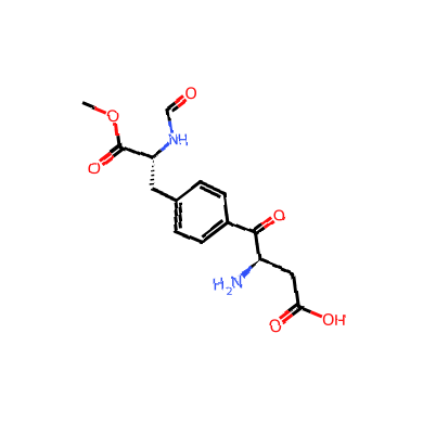 COC(=O)[C@@H](Cc1ccc(C(=O)[C@H](N)CC(=O)O)cc1)NC=O